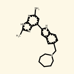 Cc1nc2c(-c3cc4cc(CN5CCCCCC5)ccc4[nH]3)cc(N)nc2[nH]1